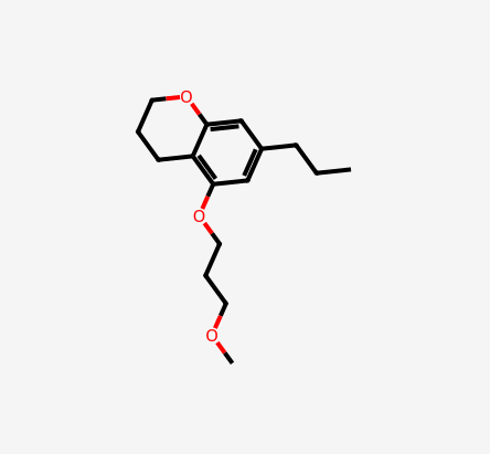 CCCc1cc(OCCCOC)c2c(c1)OCCC2